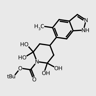 Cc1cc2cn[nH]c2cc1C1CC(O)(O)N(C(=O)OC(C)(C)C)C(O)(O)C1